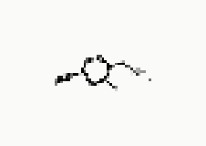 C#Cc1ccc(CN)c(C)c1